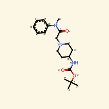 CN(C(=O)CN1CCC(NC(=O)OC(C)(C)C)CC1)c1ccccc1